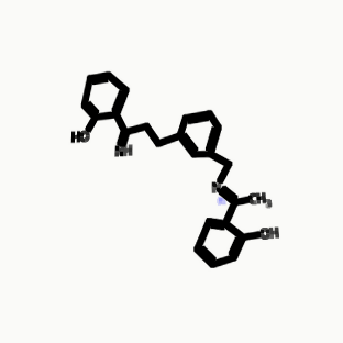 C/C(=N\Cc1cccc(CCC(=N)c2ccccc2O)c1)c1ccccc1O